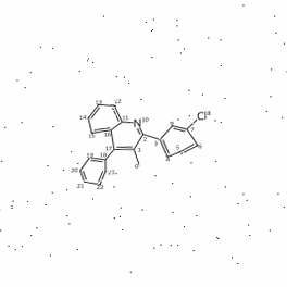 Cc1c(-c2cccc(Cl)c2)nc2ccccc2c1-c1ccccc1